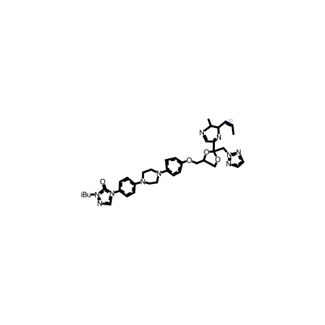 C/C=C\C1N=C(C2(Cn3nccn3)OCC(COc3ccc(N4CCN(c5ccc(-n6cnn(C(C)CC)c6=O)cc5)CC4)cc3)O2)C=NC1C